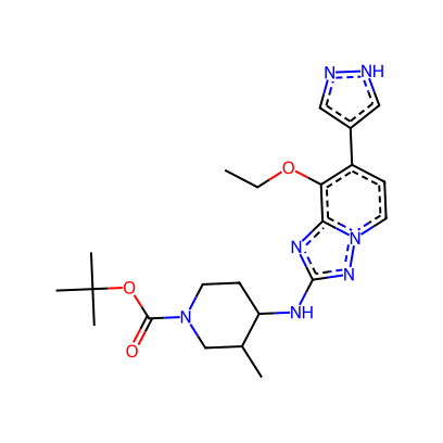 CCOc1c(-c2cn[nH]c2)ccn2nc(NC3CCN(C(=O)OC(C)(C)C)CC3C)nc12